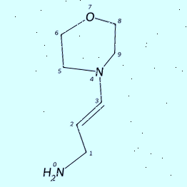 NCC=CN1CCOCC1